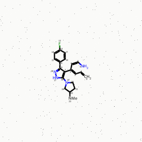 C=C/C=C(\C=C/N)c1c(-c2ccc(F)cc2)n[nH]c1N1CCC(NC)C1